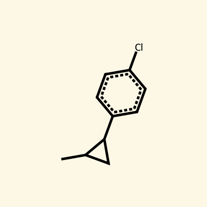 CC1CC1c1ccc(Cl)cc1